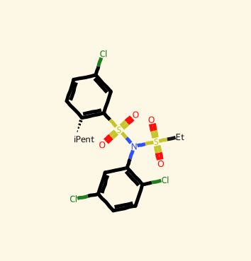 CCC[C@@H](C)c1ccc(Cl)cc1S(=O)(=O)N(c1cc(Cl)ccc1Cl)S(=O)(=O)CC